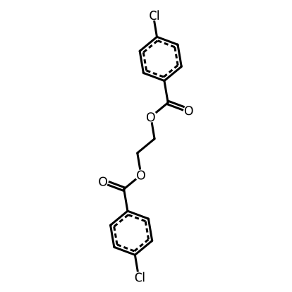 O=C(OCCOC(=O)c1ccc(Cl)cc1)c1ccc(Cl)cc1